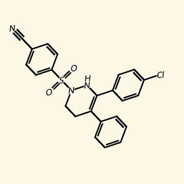 N#Cc1ccc(S(=O)(=O)N2CCC(c3ccccc3)=C(c3ccc(Cl)cc3)N2)cc1